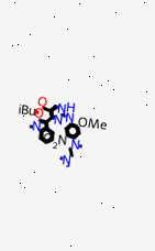 CCC(C)OC(=O)c1cnc(Nc2cc([N+](=O)[O-])c(N(C)CCN(C)C)cc2OC)nc1-c1cn(C)c2ccccc12